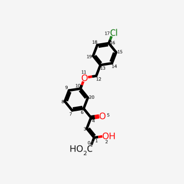 O=C(O)C(O)=CC(=O)c1cccc(OCc2ccc(Cl)cc2)c1